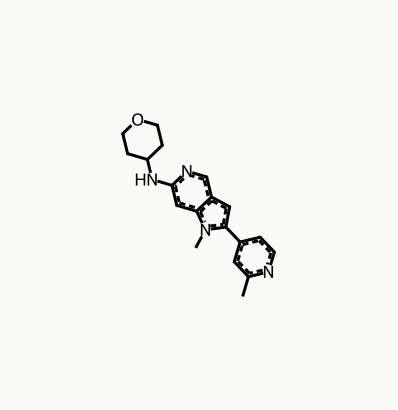 Cc1cc(-c2cc3cnc(NC4CCOCC4)cc3n2C)ccn1